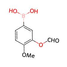 COc1ccc(B(O)O)cc1OC=O